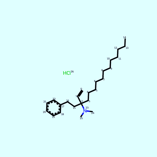 C=CC(CCCCCCCCCCCC)(CCc1ccccc1)N(C)C.Cl